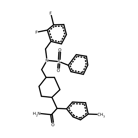 Cc1ccc(C(C(N)=O)C2CCC(CN(Cc3cccc(F)c3F)S(=O)(=O)c3ccccc3)CC2)cc1